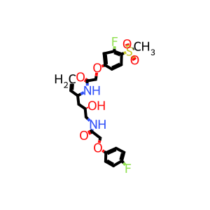 C=CC(C[C@H](O)CNC(=O)COc1ccc(F)cc1)NC(=O)COc1ccc(S(C)(=O)=O)c(F)c1